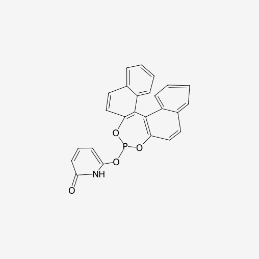 O=c1cccc(Op2oc3ccc4ccccc4c3c3c(ccc4ccccc43)o2)[nH]1